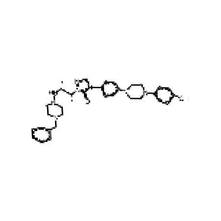 C[C@H]([C@@H](C)NN1CCN(Cc2ccccc2)CC1)n1ncn(-c2ccc(N3CCN(c4ccc(O)cc4)CC3)cc2)c1=O